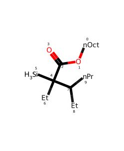 CCCCCCCCOC(=O)C([SiH3])(CC)C(CC)CCC